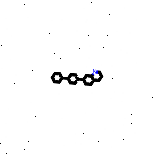 c1ccc(-c2ccc(-c3ccc4cccnc4c3)cc2)cc1